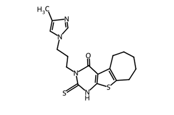 Cc1cn(CCCn2c(=S)[nH]c3sc4c(c3c2=O)CCCCC4)cn1